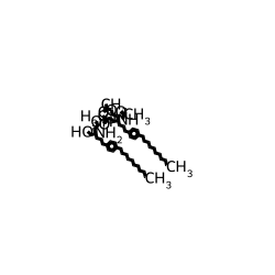 CCCCCCCCCCCc1ccc(CCCC(CCOC(C)=O)(COC(C)=O)NC(C)=O)cc1.CCCCCCCCCCCc1ccc(CCCC(N)(CO)CCO)cc1